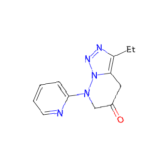 CCc1nnn2c1CC(=O)CN2c1ccccn1